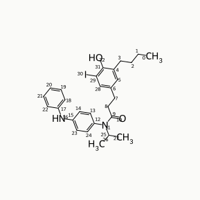 CCCCc1cc(CCC(=O)N(c2ccc(Nc3ccccc3)cc2)C(C)C)cc(I)c1O